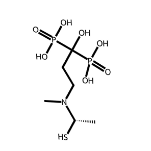 C[C@H](S)N(C)CCC(O)(P(=O)(O)O)P(=O)(O)O